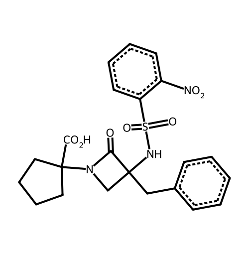 O=C1N(C2(C(=O)O)CCCC2)CC1(Cc1ccccc1)NS(=O)(=O)c1ccccc1[N+](=O)[O-]